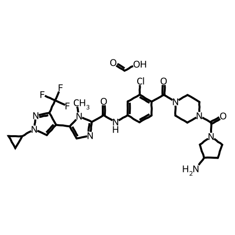 Cn1c(-c2cn(C3CC3)nc2C(F)(F)F)cnc1C(=O)Nc1ccc(C(=O)N2CCN(C(=O)N3CCC(N)C3)CC2)c(Cl)c1.O=CO